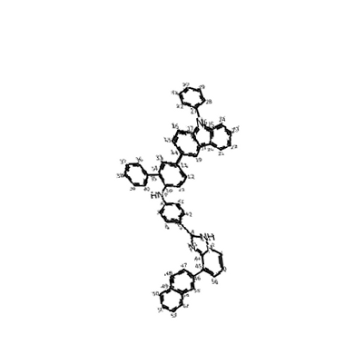 C1=CN2NC(c3ccc(Nc4ccc(-c5ccc6c(c5)c5ccccc5n6-c5ccccc5)cc4-c4ccccc4)cc3)N=C2C(c2ccc3ccccc3c2)=C1